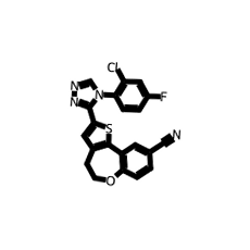 N#Cc1ccc2c(c1)-c1sc(-c3nncn3-c3ccc(F)cc3Cl)cc1CCO2